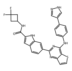 O=C(NC1CC(F)(F)C1)c1cc2ccc(-c3nc(Nc4ccc(-c5cn[nH]c5)cc4)c4sccc4n3)cc2[nH]1